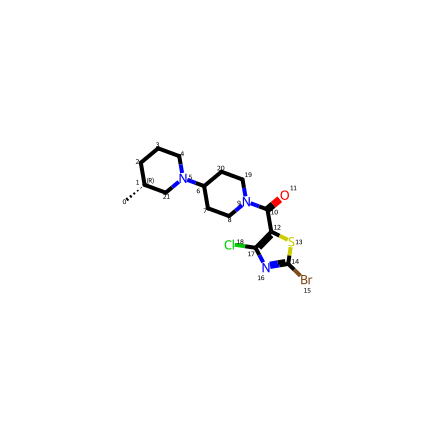 C[C@@H]1CCCN(C2CCN(C(=O)c3sc(Br)nc3Cl)CC2)C1